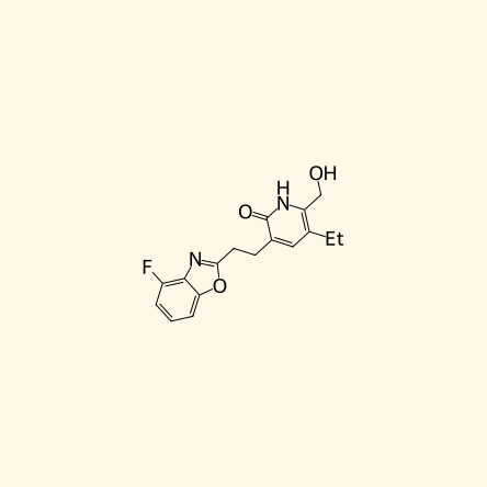 CCc1cc(CCc2nc3c(F)cccc3o2)c(=O)[nH]c1CO